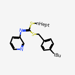 CCCCCCCSC(=Nc1cccnc1)SCc1ccc(C(C)(C)C)cc1